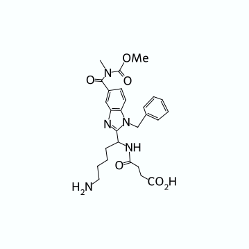 COC(=O)N(C)C(=O)c1ccc2c(c1)nc(C(CCCCN)NC(=O)CCC(=O)O)n2Cc1ccccc1